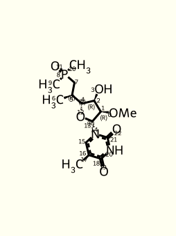 CO[C@@H]1[C@H](O)[C@@H]([C@@H](C)CP(C)(C)=O)O[C@H]1n1cc(C)c(=O)[nH]c1=O